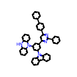 c1ccc(-c2ccc(-c3cc(-c4cc(N5c6ccccc6Nc6ccccc65)cc(-n5c6ccccc6c6ccccc65)c4)nc(-c4ccccc4)n3)cc2)cc1